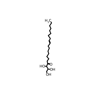 CCCCCCCCC=CCCCCCCCC(=O)C(O)C(O)CO